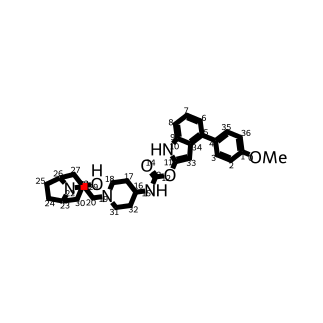 COc1ccc(-c2cccc3[nH]c(OC(=O)NC4CCN(CCN5C6CCC5CC(O)C6)CC4)cc23)cc1